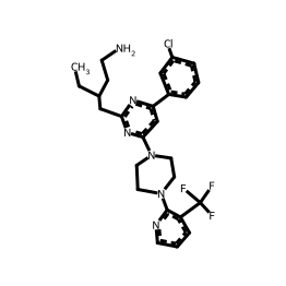 CCC(CCN)Cc1nc(-c2cccc(Cl)c2)cc(N2CCN(c3ncccc3C(F)(F)F)CC2)n1